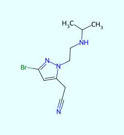 CC(C)NCCn1nc(Br)cc1CC#N